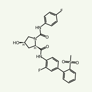 CS(=O)(=O)c1ccccc1-c1ccc(NC(=O)[C@H]2C[C@@H](O)CN2C(=O)Nc2ccc(F)cc2)c(F)c1